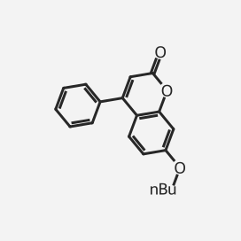 CCCCOc1ccc2c(-c3ccccc3)cc(=O)oc2c1